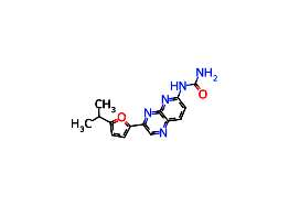 CC(C)c1ccc(-c2cnc3ccc(NC(N)=O)nc3n2)o1